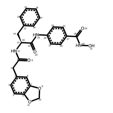 O=C(Cc1ccc2c(c1)OCO2)N[C@@H](Cc1ccccc1)C(=O)Nc1ccc(C(=O)NO)cc1